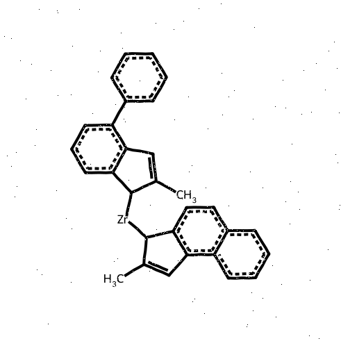 CC1=Cc2c(-c3ccccc3)cccc2[CH]1[Zr][CH]1C(C)=Cc2c1ccc1ccccc21